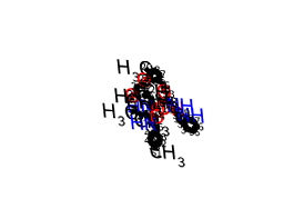 CC[C@H](C)[C@H](NC(=O)[C@@H](C[C@H](O)[C@H](COCc1ccc(C)c(OCCCOC)c1)NCc1cc2ccccc2[nH]1)C(C)C)C(=O)NCc1ccc(C)cc1